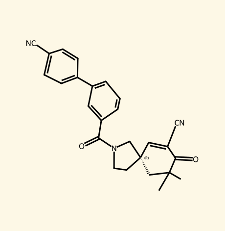 CC1(C)C[C@]2(C=C(C#N)C1=O)CCN(C(=O)c1cccc(-c3ccc(C#N)cc3)c1)C2